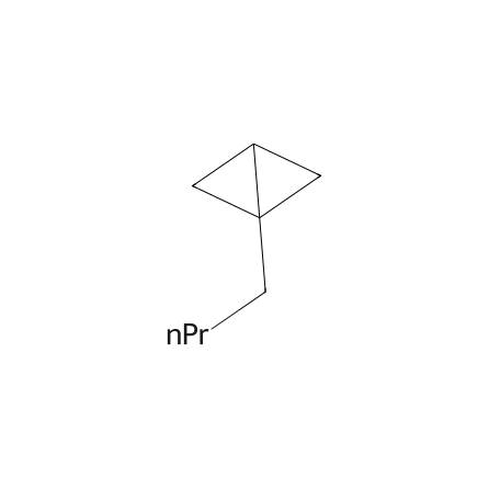 [CH2]CCCC12CC1C2